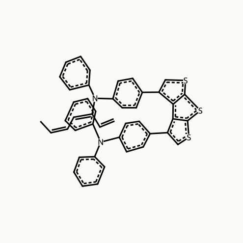 C=C/C(=C\C=C/C)N(c1ccccc1)c1ccc(-c2csc3sc4scc(-c5ccc(N(c6ccccc6)c6ccccc6)cc5)c4c23)cc1